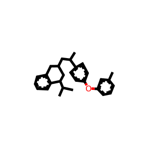 Cc1cccc(Oc2ccc(C(C)CC3Cc4ccccc4C(C(C)C)C3)cc2)c1